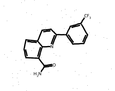 NC(=O)c1cccc2ccc(-c3cccc(C(F)(F)F)c3)nc12